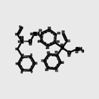 C=C[SiH](Cc1ccccc1)O[SiH3].C=C[Si](O[SiH3])(c1ccccc1)c1ccccc1